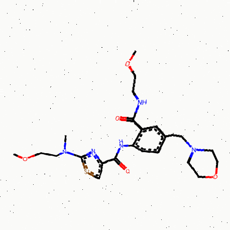 COCCNC(=O)c1cc(CN2CCOCC2)ccc1NC(=O)c1csc(N(C)CCOC)n1